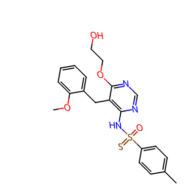 COc1ccccc1Cc1c(NS(=O)(=S)c2ccc(C)cc2)ncnc1OCCO